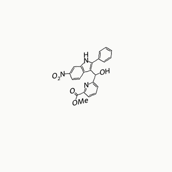 COC(=O)c1cccc(C(O)c2c(-c3ccccc3)[nH]c3cc([N+](=O)[O-])ccc23)n1